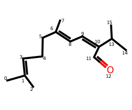 CC(C)=CCCC(C)=CC=C(C=O)C(C)C